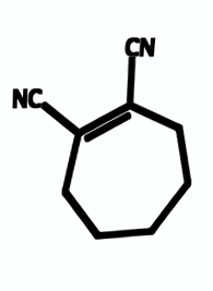 N#CC1=C(C#N)CCCCC1